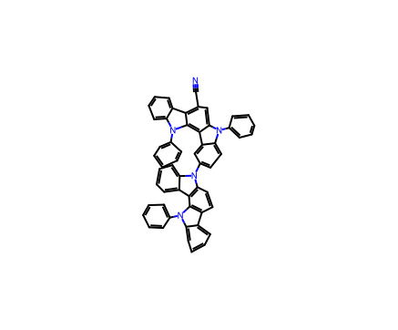 N#Cc1cc2c(c3cc(-n4c5ccccc5c5c4ccc4c6ccccc6n(-c6ccccc6)c45)ccc3n2-c2ccccc2)c2c1c1ccccc1n2-c1ccccc1